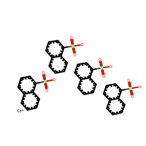 O=S(=O)([O-])c1cccc2ccccc12.O=S(=O)([O-])c1cccc2ccccc12.O=S(=O)([O-])c1cccc2ccccc12.O=S(=O)([O-])c1cccc2ccccc12.[Ce+4]